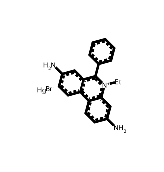 CC[n+]1c(-c2ccccc2)c2cc(N)ccc2c2ccc(N)cc21.[Br-].[Hg]